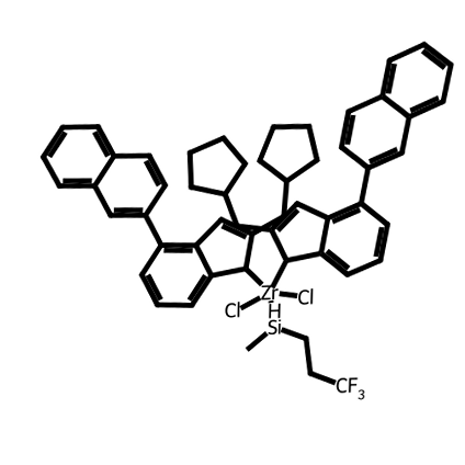 C[SiH](CCC(F)(F)F)[Zr]([Cl])([Cl])([CH]1C(CC2CCCC2)=Cc2c(-c3ccc4ccccc4c3)cccc21)[CH]1C(CC2CCCC2)=Cc2c(-c3ccc4ccccc4c3)cccc21